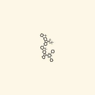 CC(C)(C)OC(=O)n1c2ccc(-c3cccc4c3C(C)(C)c3cc5c(cc3-4)c3ccccc3n5-c3nc(-c4ccccc4)nc(-c4ccccc4)n3)cc2c2cc3c(cc21)C(C)(C)c1ccccc1-3